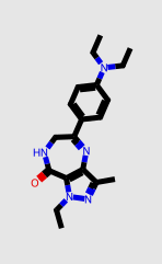 CCN(CC)c1ccc(C2=Nc3c(C)nn(CC)c3C(=O)NC2)cc1